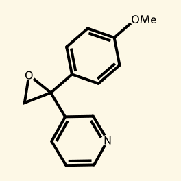 COc1ccc(C2(c3cccnc3)CO2)cc1